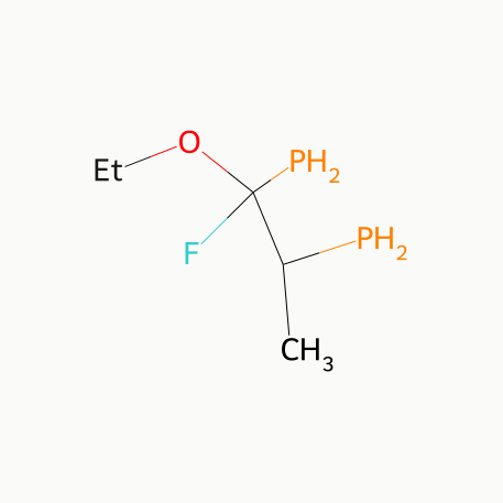 CCOC(F)(P)C(C)P